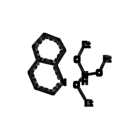 CCO[SiH](OCC)OCC.c1ccc2ncccc2c1